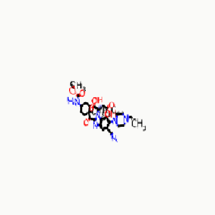 CCN1CCN(c2cc3c(cc2C#N)nc(C(=O)C2(C)CCC(NC(=O)OC)CC2)n3/C(=C\C(=O)O)C(=O)O)[C@@H](C)C1